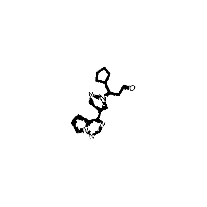 O=CCC(C1CCCC1)n1cc(-c2ncnn3cccc23)cn1